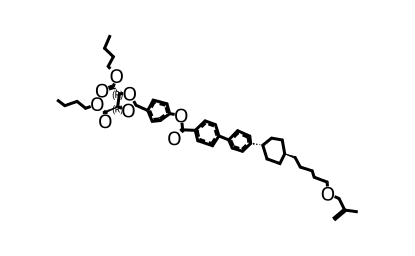 C=C(C)COCCCCC[C@H]1CC[C@H](c2ccc(-c3ccc(C(=O)Oc4ccc(C5O[C@@H](C(=O)OCCCC)[C@H](C(=O)OCCCC)O5)cc4)cc3)cc2)CC1